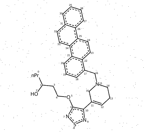 CCCC(O)CCOc1nsnc1C1=CCCN(Cc2cccc3c2ccc2c4ccccc4ccc32)C1